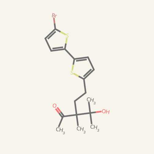 CC(=O)C(C)(CCc1ccc(-c2ccc(Br)s2)s1)C(C)(C)O